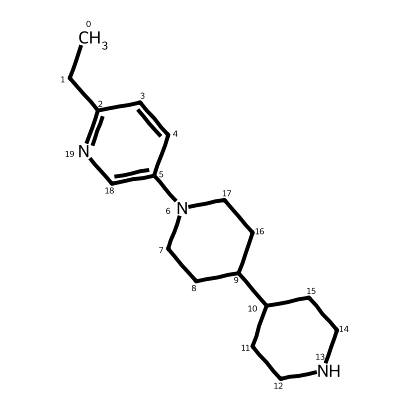 CCc1ccc(N2CCC(C3CCNCC3)CC2)cn1